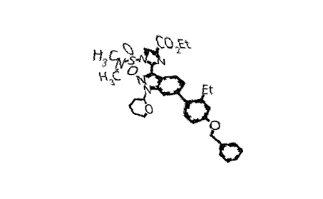 CCOC(=O)c1cn(S(=O)(=O)N(C)C)c(-c2nn(C3CCCCO3)c3cc(-c4ccc(OCc5ccccc5)cc4CC)ccc23)n1